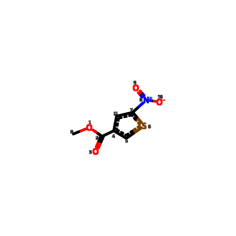 COC(=O)c1csc([N+](=O)[O-])c1